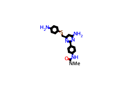 CNC(=O)Nc1ccc(-c2nc(N)cc(CSc3ccc(N)cc3)n2)cc1